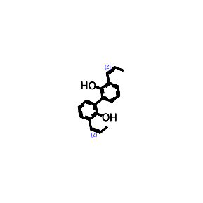 C/C=C\c1cccc(-c2cccc(/C=C\C)c2O)c1O